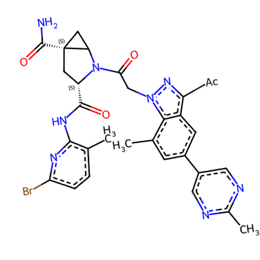 CC(=O)c1nn(CC(=O)N2C3C[C@]3(C(N)=O)C[C@H]2C(=O)Nc2nc(Br)ccc2C)c2c(C)cc(-c3cnc(C)nc3)cc12